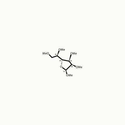 COC[C@@H](OC)[C@H]1O[C@H](OC)[C@H](OC)[C@@H]1OC